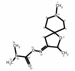 CC1OC2(CCN(C)CC2)CC1=NOC(=O)N(C)C